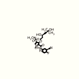 C=NS(=O)(=O)c1cn(C)c(C(=O)Nc2ccc(F)c(C#N)c2)c1OCC[C@H](O)C#CC(C)(C)O